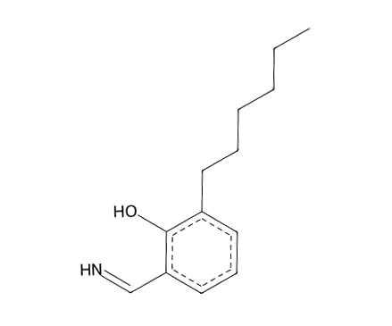 CCCCCCc1cccc(C=N)c1O